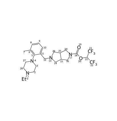 CCN1CCN(c2c(C)cccc2CN2CC3CN(C(=O)OC(C(F)(F)F)C(F)(F)F)CC3C2)CC1